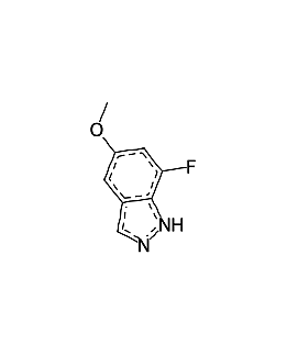 COc1cc(F)c2[nH]ncc2c1